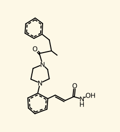 CC(Cc1ccccc1)C(=O)N1CCN(c2ccccc2C=CC(=O)NO)CC1